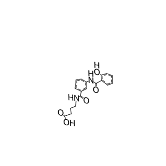 O=C(O)CCCNC(=O)c1cccc(NC(=O)c2ccccc2O)c1